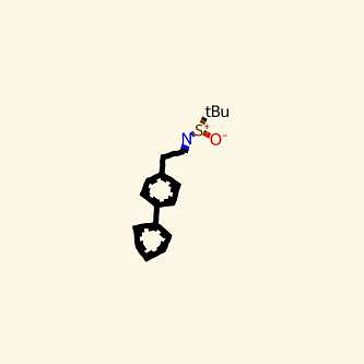 CC(C)(C)[S+]([O-])/N=C/Cc1ccc(-c2ccccc2)cc1